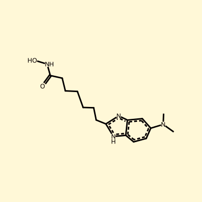 CN(C)c1ccc2[nH]c(CCCCCCC(=O)NO)nc2c1